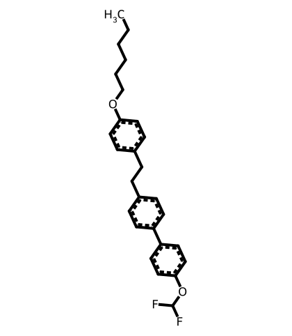 CCCCCCOc1ccc(CCc2ccc(-c3ccc(OC(F)F)cc3)cc2)cc1